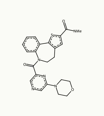 CNC(=O)c1cc2c(s1)-c1ccccc1N(C(=O)c1cncc(N3CCOCC3)n1)CC2